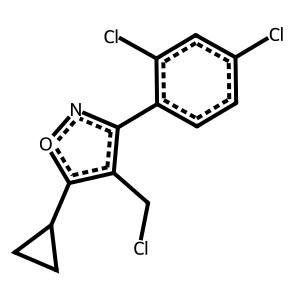 ClCc1c(-c2ccc(Cl)cc2Cl)noc1C1CC1